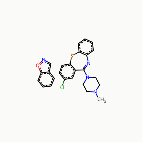 CN1CCN(C2=Nc3ccccc3Sc3ccc(Cl)cc32)CC1.c1ccc2oncc2c1